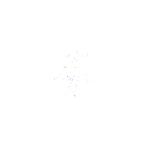 COc1cc(-n2c(C34CCC(OC)(CC3)C4)c(-c3ccc(C(=O)O)c(O)c3)c3c(O)cc(F)cc32)ccc1F